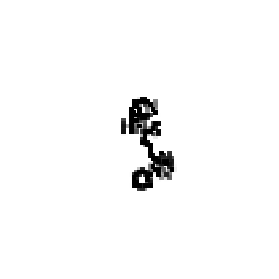 S=C(CCCc1nnnn1C1CCCCC1)Nc1cnccn1